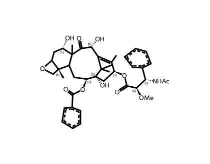 CO[C@@H](C(=O)O[C@H]1C[C@@]2(O)[C@@H](OC(=O)c3ccccc3)CC3C(C)(C(=O)[C@H](O)C(=C1C)C2(C)C)[C@@H](O)CC1OC[C@]13C)[C@@H](NC(C)=O)c1ccccc1